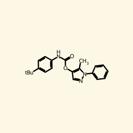 Cc1c(OC(=O)Nc2ccc(C(C)(C)C)cc2)cnn1-c1ccccc1